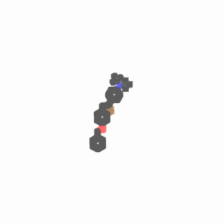 C[Si](C)(C)N(c1ccc(-c2[c]c3ccc(OCc4ccccc4)cc3s2)cc1)[Si](C)(C)C